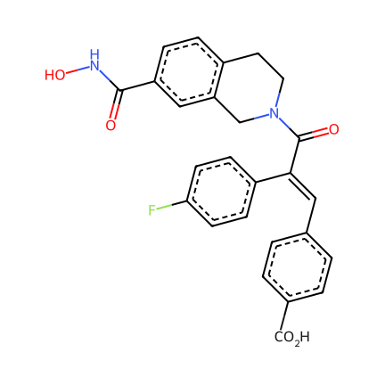 O=C(O)c1ccc(C=C(C(=O)N2CCc3ccc(C(=O)NO)cc3C2)c2ccc(F)cc2)cc1